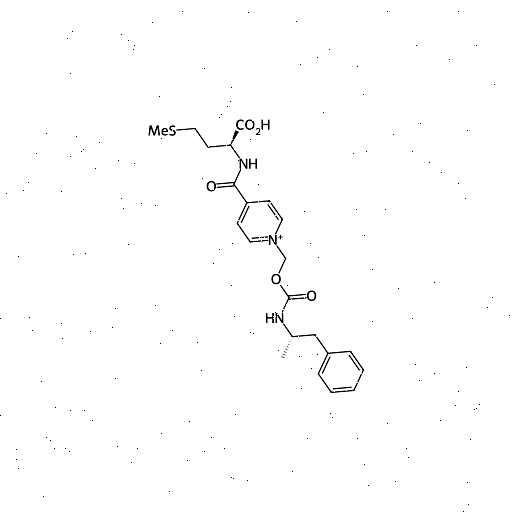 CSCC[C@H](NC(=O)c1cc[n+](COC(=O)N[C@@H](C)Cc2ccccc2)cc1)C(=O)O